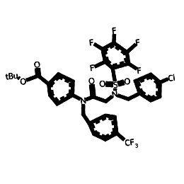 CC(C)(C)OC(=O)c1ccc(N(Cc2ccc(C(F)(F)F)cc2)C(=O)CN(Cc2ccc(Cl)cc2)S(=O)(=O)c2c(F)c(F)c(F)c(F)c2F)cc1